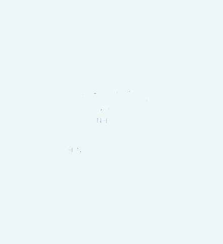 NCCNC1(c2ccc(Cl)cc2)CCC1